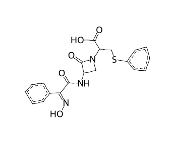 O=C(NC1CN(C(CSc2ccccc2)C(=O)O)C1=O)C(=NO)c1ccccc1